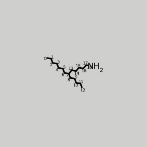 CCCCCCCC(CCCCC)CCCCCN